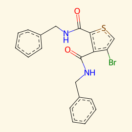 O=C(NCc1ccccc1)c1scc(Br)c1C(=O)NCc1ccccc1